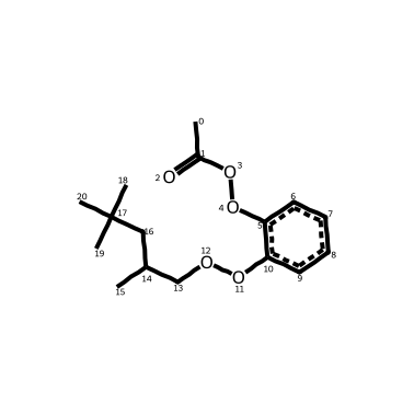 CC(=O)OOc1ccccc1OOCC(C)CC(C)(C)C